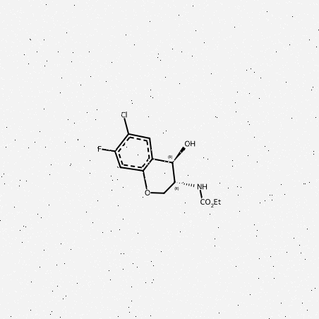 CCOC(=O)N[C@@H]1COc2cc(F)c(Cl)cc2[C@H]1O